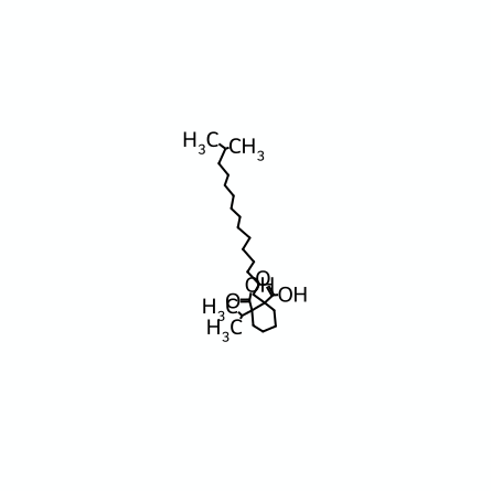 CC(C)CCCCCCCCCCCCCC1(C(=O)O)CCCCC1(C(=O)O)C(C)C